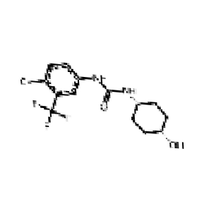 O=C(Nc1ccc(Cl)c(C(F)(F)F)c1)N[C@H]1CC[C@@H](O)CC1